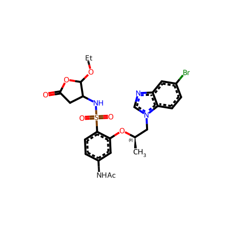 CCOC1OC(=O)CC1NS(=O)(=O)c1ccc(NC(C)=O)cc1O[C@H](C)Cn1cnc2cc(Br)ccc21